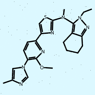 CCn1nc2c(c1N(C)c1nc(-c3ccc(-n4cnc(C)c4)c(OC)n3)cs1)CCCC2